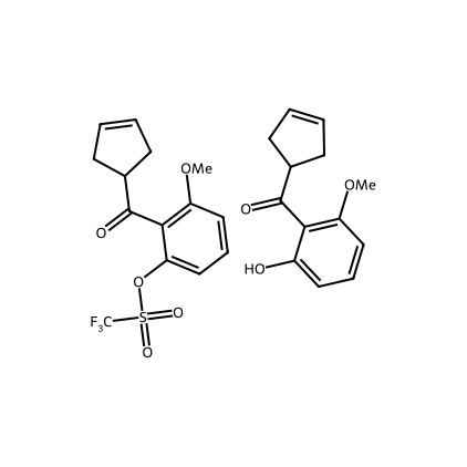 COc1cccc(O)c1C(=O)C1CC=CC1.COc1cccc(OS(=O)(=O)C(F)(F)F)c1C(=O)C1CC=CC1